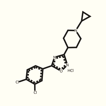 Cl.Clc1ccc(-c2nc(C3CCN(C4CC4)CC3)no2)cc1Cl